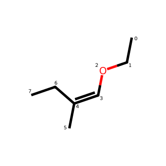 CCOC=C(C)CC